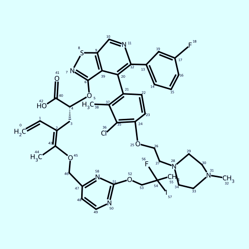 C=C/C(C[C@@H](Oc1nsc2cnc(-c3cccc(F)c3)c(-c3ccc(OCCN4CCN(C)CC4)c(Cl)c3C)c12)C(=O)O)=C(\C)OCc1ccnc(OCC(C)(F)I)n1